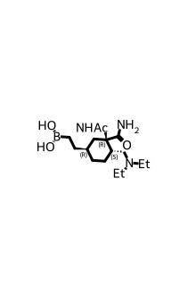 CCN(CC)C[C@@H]1CC[C@@H](CCB(O)O)C[C@]1(NC(C)=O)C(N)=O